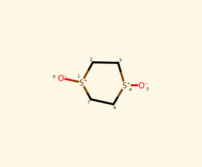 [O-][S+]1CC[S+]([O-])CC1